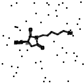 CS[C@@H]1CC(=O)N(CCCCCC(C)=O)C1=O